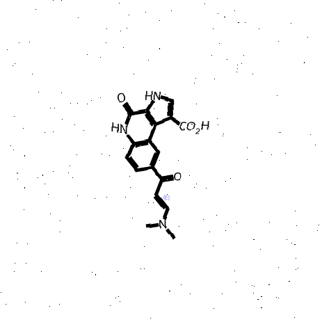 CN(C)/C=C/C(=O)c1ccc2[nH]c(=O)c3[nH]cc(C(=O)O)c3c2c1